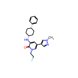 Cn1cc(-c2cc(N[C@H]3CC[C@@H](c4ccccc4)CC3)c(=O)n(CCF)c2)cn1